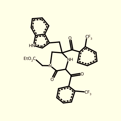 CCOC(=O)CN1CC(Cc2c[nH]c3ccccc23)(C(=O)c2ccccc2C(F)(F)F)NC(C(=O)c2ccccc2C(F)(F)F)C1=O